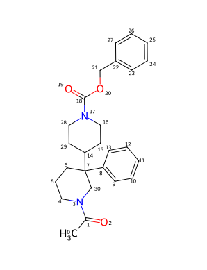 CC(=O)N1CCCC(c2ccccc2)(C2CCN(C(=O)OCc3ccccc3)CC2)C1